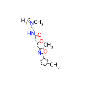 Cc1cccc(-c2nc(CC(=O)CC(=O)NCCN(C)C)c(C)o2)c1